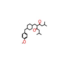 COc1ccc(CC2CCC(CC(C(=O)CC(C)C)C(=O)CC(C)C)CC2)cc1